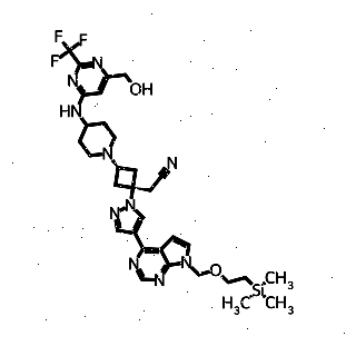 C[Si](C)(C)CCOCn1ccc2c(-c3cnn([C@]4(CC#N)C[C@@H](N5CCC(Nc6cc(CO)nc(C(F)(F)F)n6)CC5)C4)c3)ncnc21